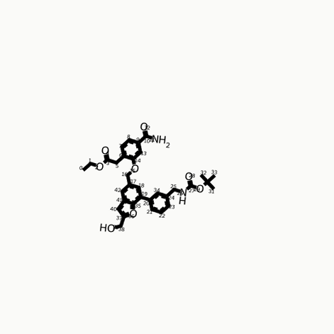 CCOC(=O)Cc1ccc(C(N)=O)cc1OCc1cc(-c2cccc(CNC(=O)OC(C)(C)C)c2)c2oc(CO)cc2c1